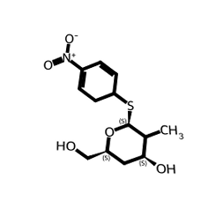 CC1[C@@H](O)C[C@@H](CO)O[C@H]1SC1C=CC([N+](=O)[O-])=CC1